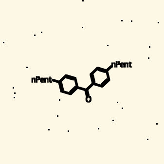 CCCCCc1ccc(C(=O)c2ccc(CCCCC)cc2)cc1